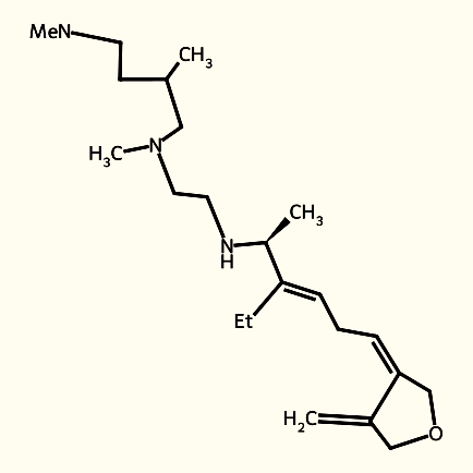 C=C1COC/C1=C/C/C=C(\CC)[C@H](C)NCCN(C)CC(C)CCNC